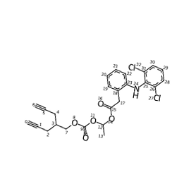 C#CCC(CC#C)COC(=O)OC(C)OC(=O)Cc1ccccc1Nc1c(Cl)cccc1Cl